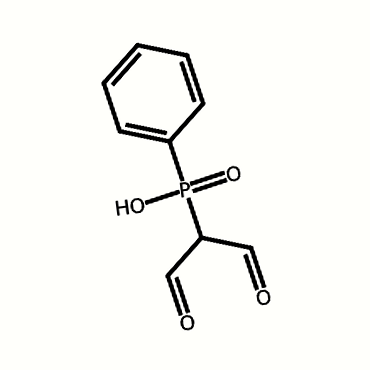 O=CC(C=O)P(=O)(O)c1ccccc1